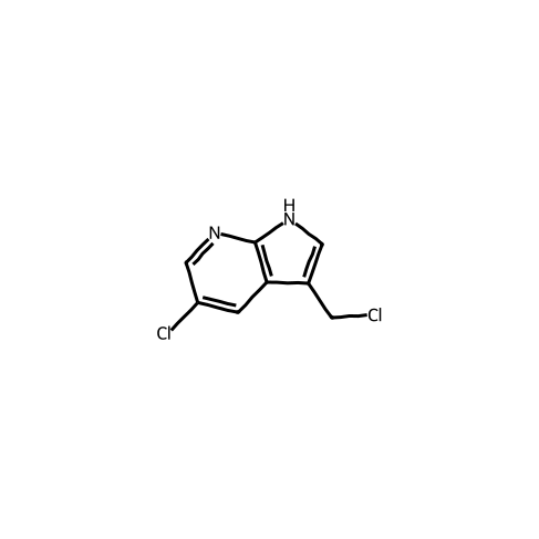 ClCc1c[nH]c2ncc(Cl)cc12